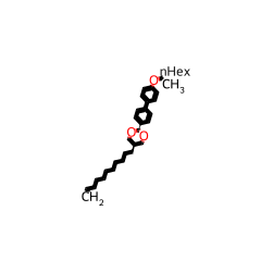 C=CCCCCCCCCC[C@H]1CO[C@H](c2ccc(-c3ccc(O[C@@H](C)CCCCCC)cc3)cc2)OC1